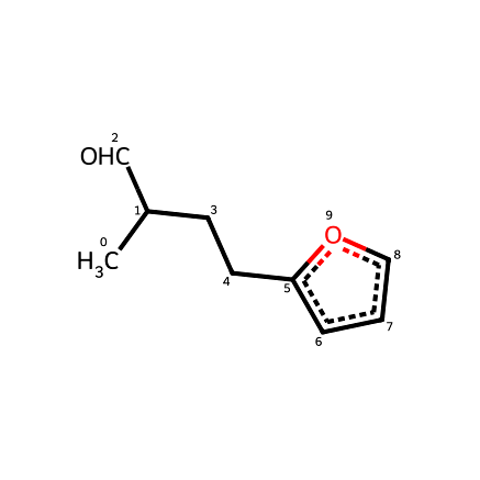 CC(C=O)CCc1ccco1